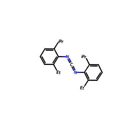 CCc1cccc(C(C)C)c1N=C=Nc1c(CC)cccc1C(C)C